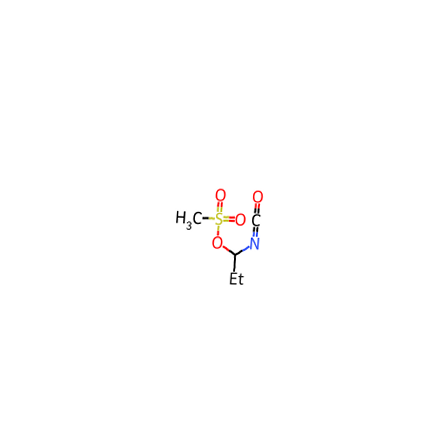 CCC(N=C=O)OS(C)(=O)=O